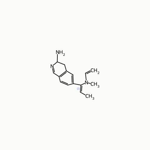 C=CN(C)/C(=C\C)c1ccc2c(c1)CC(N)N=C2